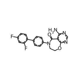 Nc1ncnc2c1C(=O)N(c1ccc(-c3ccc(F)cc3F)cc1)CCO2